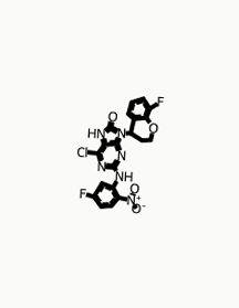 O=c1[nH]c2c(Cl)nc(Nc3cc(F)ccc3[N+](=O)[O-])nc2n1C1CCOc2c(F)cccc21